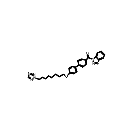 O=C(c1ccc(-c2ccc(OCCCCCCCCn3ncnn3)cc2)cc1)n1nnc2ccccc21